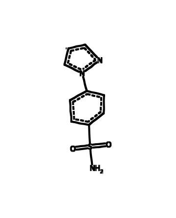 NS(=O)(=O)c1ccc(-n2c[c]cn2)cc1